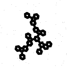 c1ccc(-c2nc(-c3cc(-n4c5ccccc5c5cc(-c6ccc7c(c6)c6ccccc6n7-c6ccccc6)ccc54)cc(-n4c5ccccc5c5cc(-c6ccc7c(c6)c6ccccc6n7-c6ccccc6)ccc54)c3)nc3c2ccc2ccccc23)cc1